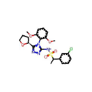 COc1cccc(OC)c1-n1c(NS(=O)(=O)C(C)c2cccc(Cl)c2)nnc1[C@@H]1CCCO1